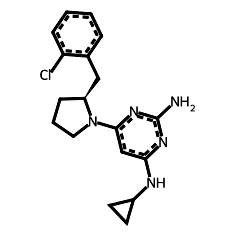 Nc1nc(NC2CC2)cc(N2CCC[C@H]2Cc2ccccc2Cl)n1